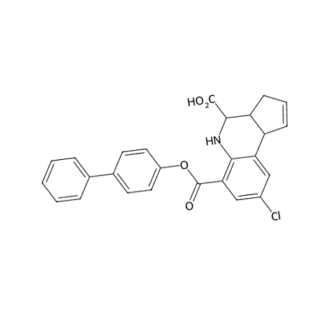 O=C(Oc1ccc(-c2ccccc2)cc1)c1cc(Cl)cc2c1NC(C(=O)O)C1CC=CC21